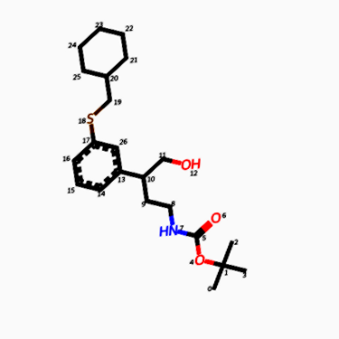 CC(C)(C)OC(=O)NCCC(CO)c1cccc(SCC2CCCCC2)c1